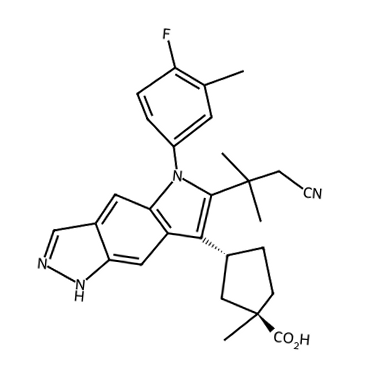 Cc1cc(-n2c(C(C)(C)CC#N)c([C@@H]3CC[C@@](C)(C(=O)O)C3)c3cc4[nH]ncc4cc32)ccc1F